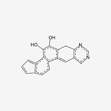 Oc1c2c(c3ccc4c(c3c1O)=CC=C4)=Cc1cncnc1C2